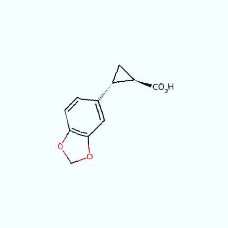 O=C(O)[C@@H]1C[C@H]1c1ccc2c(c1)OCO2